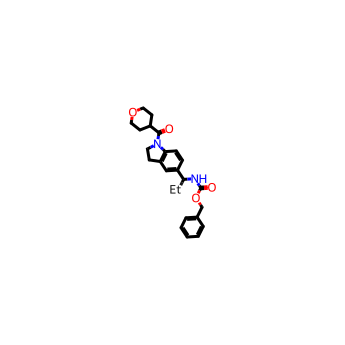 CCC(NC(=O)OCc1ccccc1)c1ccc2c(c1)CCN2C(=O)C1CCOCC1